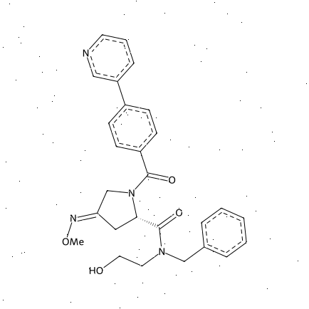 CO/N=C1\C[C@@H](C(=O)N(CCO)Cc2ccccc2)N(C(=O)c2ccc(-c3cccnc3)cc2)C1